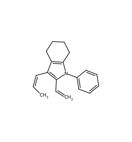 C=Cc1c(/C=C\C)c2c(n1-c1ccccc1)CCCC2